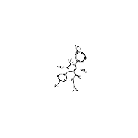 CCOC(=O)C1=C(C)N(c2cccc(C(F)(F)F)c2)C(N)=C(C(=O)NC2CC2)C1c1ccc(C#N)cc1